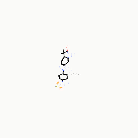 COc1cc(NS(C)(=O)=O)ccc1-c1nc2cc3c(cc2[nH]1)NC(=O)C3(C)C